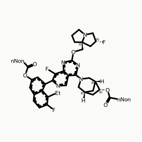 CCCCCCCCCC(=O)Oc1cc(-c2ncc3c(N4C[C@@H]5C[C@H](C4)[C@H](OC(=O)CCCCCCCCC)C5)nc(OC[C@@]45CCCN4C[C@H](F)C5)nc3c2F)c2c(CC)c(F)ccc2c1